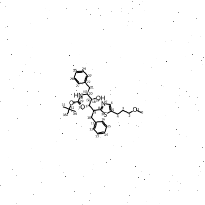 COCCCc1cnc(C(Cc2ccccc2)C[C@H](O)[C@H](Cc2ccccc2)NC(=O)OC(C)(C)C)s1